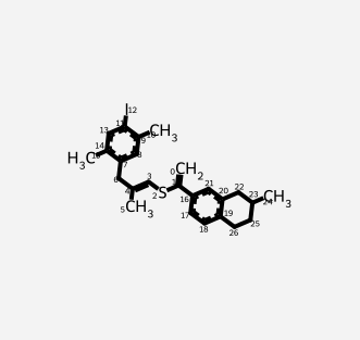 C=C(S/C=C(\C)Cc1cc(C)c(I)cc1C)c1ccc2c(c1)CC(C)CC2